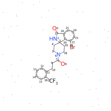 O=C1NC2(CCN(C(=O)CCc3ccccc3C(F)(F)F)CC2)c2c(Br)cccc21